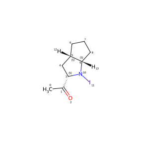 CC(=O)[C@@H]1C[C@@H]2CCC[C@@H]2N1I